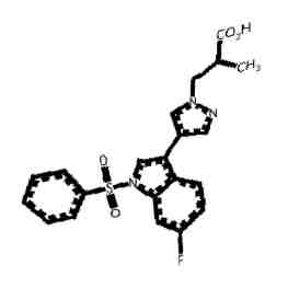 CC(Cn1cc(-c2cn(S(=O)(=O)c3ccccc3)c3cc(F)ccc23)cn1)C(=O)O